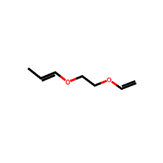 C=COCCOC=CC